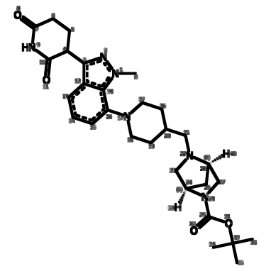 Cn1nc(C2CCC(=O)NC2=O)c2cccc(N3CCC(CN4C[C@H]5C[C@@H]4CN5C(=O)OC(C)(C)C)CC3)c21